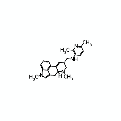 Cc1ccc(NC[C@@H]2C=C3c4cccc5c4c(cn5C)C[C@H]3N(C)C2)c(C)n1